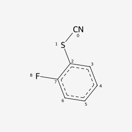 N#CSc1ccccc1F